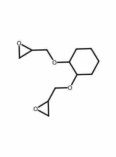 C1CCC(OCC2CO2)C(OCC2CO2)C1